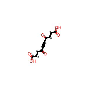 O=C(O)CCC(=O)C#CC(=O)CCC(=O)O